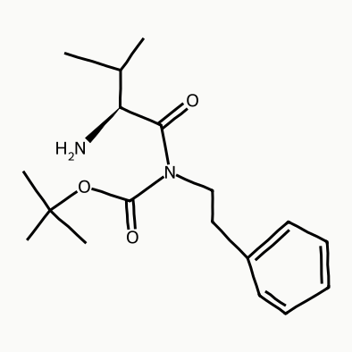 CC(C)[C@H](N)C(=O)N(CCc1ccccc1)C(=O)OC(C)(C)C